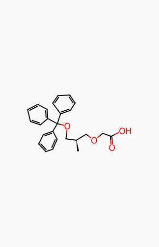 C[C@H](COCC(=O)O)COC(c1ccccc1)(c1ccccc1)c1ccccc1